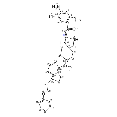 Nc1nc(N)c(C(=O)/N=C2\NCC3(CCN(C(=O)c4cccc5c4CCN5CCOc4ccccc4)CC3)N2)nc1Cl